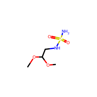 COC(CNS(N)(=O)=O)OC